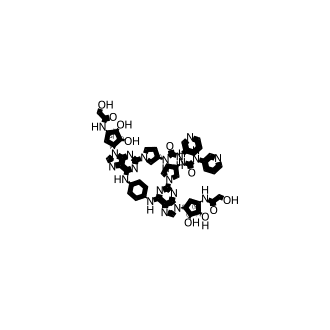 O=C(CO)N[C@H]1C[C@@H](n2cnc3c(N[C@H]4CC[C@H](Nc5nc(N6CC[C@@H](NC(=O)Nc7cccnc7)C6)nc6c5ncn6[C@@H]5C[C@H](NC(=O)CO)[C@@H](O)[C@H]5O)CC4)nc(N4CC[C@@H](NC(=O)Nc5cccnc5)C4)nc32)[C@H](O)[C@@H]1O